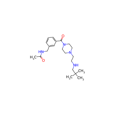 CC(=O)NCc1cccc(C(=O)N2CCN(CCNCC(C)(C)C)CC2)c1